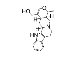 C[C@@H]1OC=C(CO)[C@H]2C[C@H]3c4[nH]c5ccccc5c4CCN3C[C@H]12